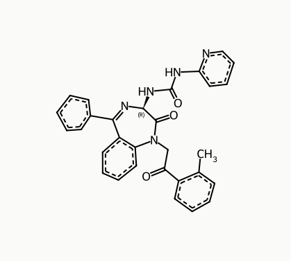 Cc1ccccc1C(=O)CN1C(=O)[C@H](NC(=O)Nc2ccccn2)N=C(c2ccccc2)c2ccccc21